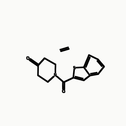 C=C.O=C1CCN(C(=O)c2cc3ccccc3s2)CC1